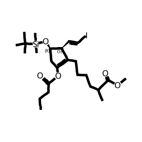 CCCC(=O)OC1=C(CCCCC(C)C(=O)OC)[C@H](C=CI)[C@H](O[Si](C)(C)C(C)(C)C)C1